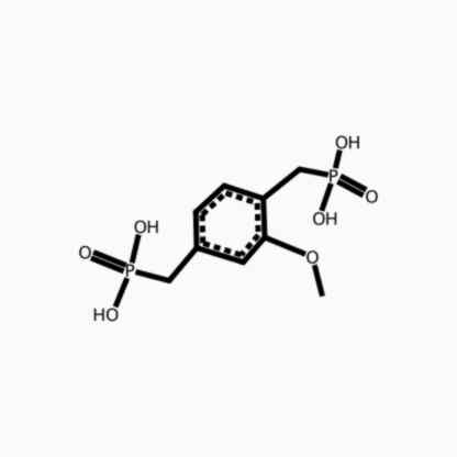 COc1cc(CP(=O)(O)O)ccc1CP(=O)(O)O